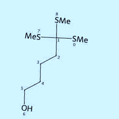 CSC(CCCCO)(SC)SC